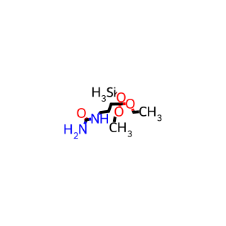 CCOC(CCCNC(N)=O)(O[SiH3])OCC